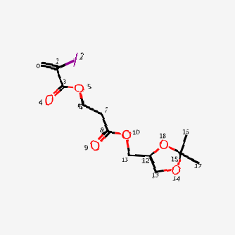 C=C(I)C(=O)OCCC(=O)OCC1COC(C)(C)O1